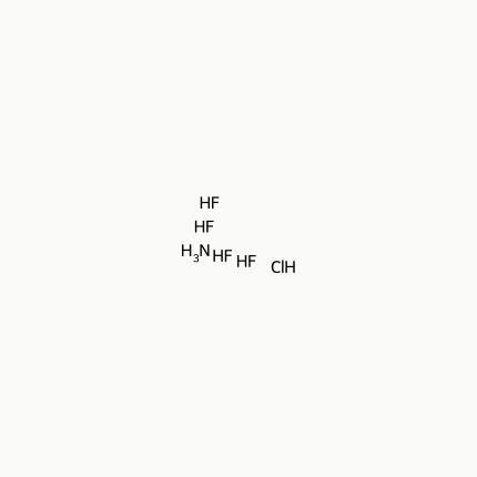 Cl.F.F.F.F.N